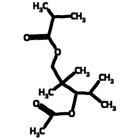 CC(=O)OC(C(C)C)C(C)(C)COC(=O)C(C)C